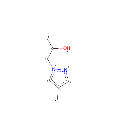 Cc1cnn(CC(C)O)c1